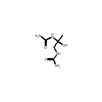 CC(O)(CNC(N)=O)NC(N)=O